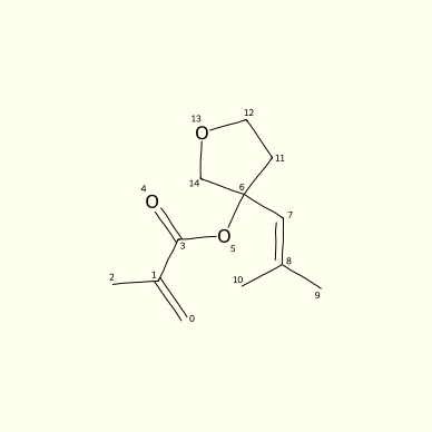 C=C(C)C(=O)OC1(C=C(C)C)CCOC1